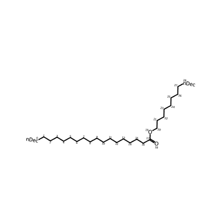 CCCCCCCCCCCCCCCCCCCCCCCCCCC(=O)OCCCCCCCCCCCCCCCCCC